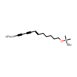 CCCCCC#CC#CC=CCCCCCO[Si](C)(C)C(C)(C)C